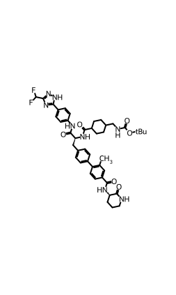 Cc1cc(C(=O)N[C@@H]2CCCNC2=O)ccc1-c1ccc(C[C@H](NC(=O)C2CCC(CNC(=O)OC(C)(C)C)CC2)C(=O)Nc2ccc(-c3nc(C(F)F)n[nH]3)cc2)cc1